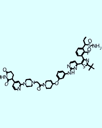 CCC(c1cccc(-c2nc(C(C)(C)C)sc2-c2ccnc(Nc3cccc(OC4CCN(C(=O)CN5CCN(c6cc(C7CCC(=O)NC7=O)ccn6)CC5)CC4)c3)n2)c1F)S(N)(=O)=O